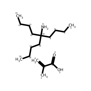 C=C(C)C(=O)O.CCCCC(N)(CCCC)CCCC